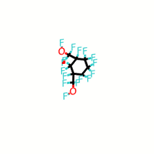 FOC(F)(F)C1(F)C(F)(F)C(F)(F)C(F)(F)C(F)(C(F)(F)OF)C1(F)F